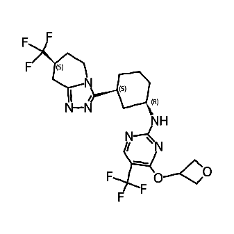 FC(F)(F)c1cnc(N[C@@H]2CCC[C@H](c3nnc4n3CC[C@H](C(F)(F)F)C4)C2)nc1OC1COC1